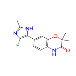 Cc1nc(F)c(-c2ccc3c(c2)OC(C)(C)C(=O)N3)[nH]1